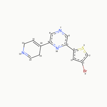 Brc1csc(-c2cncc(C3=CCN=CC3)n2)c1